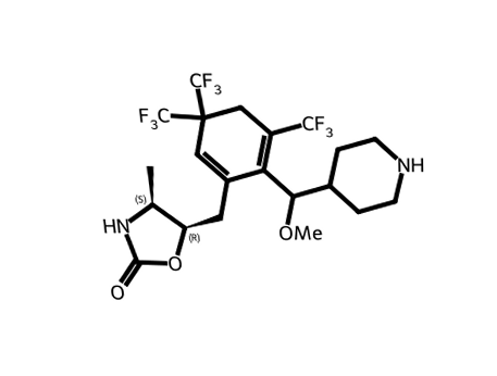 COC(C1=C(C(F)(F)F)CC(C(F)(F)F)(C(F)(F)F)C=C1C[C@H]1OC(=O)N[C@H]1C)C1CCNCC1